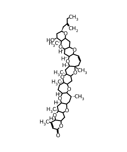 C=C(CC)C[C@@H]1C[C@H](O)[C@]2(C)O[C@@H]3C[C@@H]4O[C@@H]5C[C@]6(C)O[C@]7(C)CC[C@@H]8O[C@@H]9C[C@]%10(C)O[C@@H]%11C(C)=CC(=O)OC%11CC%10OC9C[C@@H](C)C8OC7CC6O[C@@]5(C)C/C=C\C4OC3CC2O1